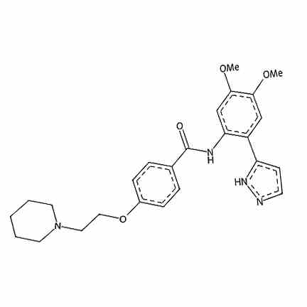 COc1cc(NC(=O)c2ccc(OCCN3CCCCC3)cc2)c(-c2ccn[nH]2)cc1OC